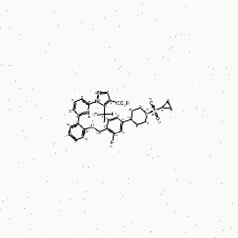 CC(F)(F)c1c(C(=O)O)cnn1-c1cccc(-c2ccccc2OCc2ccc(C3CCN(S(=O)(=O)C4CC4)CC3)cc2F)n1